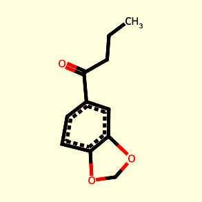 CCCC(=O)c1ccc2c(c1)OCO2